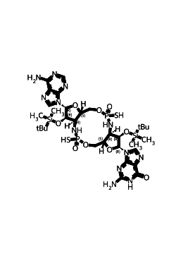 CC(C)(C)[Si](C)(C)O[C@@H]1[C@@H]2NP(=O)(S)OC[C@H]3O[C@@H](n4cnc5c(=O)[nH]c(N)nc54)[C@H](O[Si](C)(C)C(C)(C)C)[C@@H]3NP(=O)(S)OC[C@H]2O[C@H]1n1cnc2c(N)ncnc21